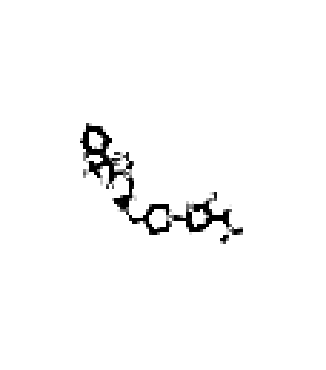 CN(C)C(=O)c1ccc(N2CCC(C[C@H]3C[C@H]3CN(C)C(=O)[C@](O)(c3ccccc3)C(F)(F)F)CC2)nc1Cl